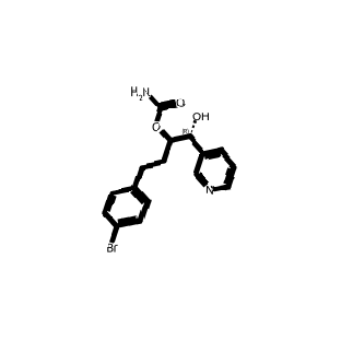 NC(=O)OC(CCc1ccc(Br)cc1)[C@H](O)c1cccnc1